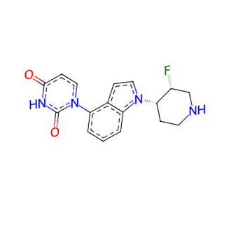 O=c1ccn(-c2cccc3c2ccn3[C@H]2CCNC[C@H]2F)c(=O)[nH]1